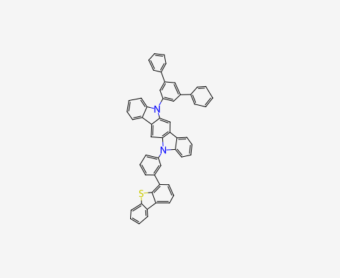 c1ccc(-c2cc(-c3ccccc3)cc(-n3c4ccccc4c4cc5c(cc43)c3ccccc3n5-c3cccc(-c4cccc5c4sc4ccccc45)c3)c2)cc1